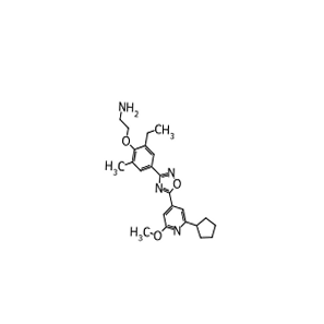 CCc1cc(-c2noc(-c3cc(OC)nc(C4CCCC4)c3)n2)cc(C)c1OCCN